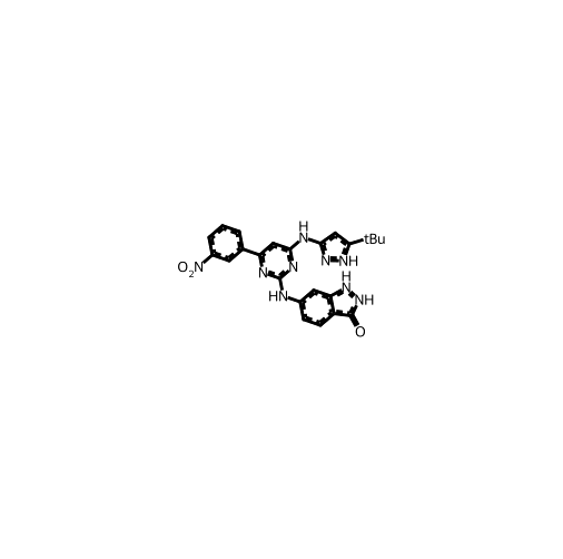 CC(C)(C)c1cc(Nc2cc(-c3cccc([N+](=O)[O-])c3)nc(Nc3ccc4c(=O)[nH][nH]c4c3)n2)n[nH]1